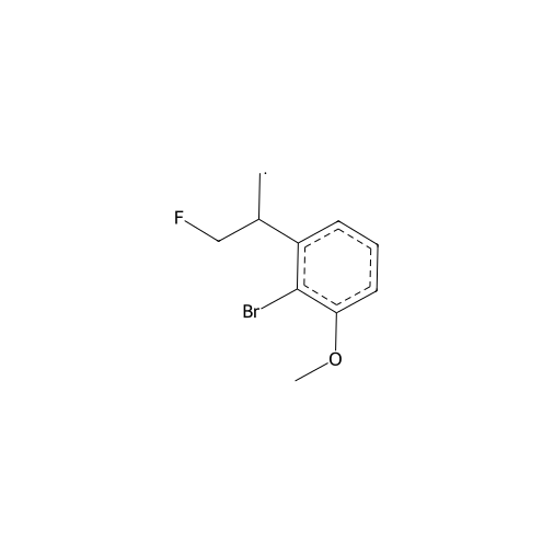 [CH2]C(CF)c1cccc(OC)c1Br